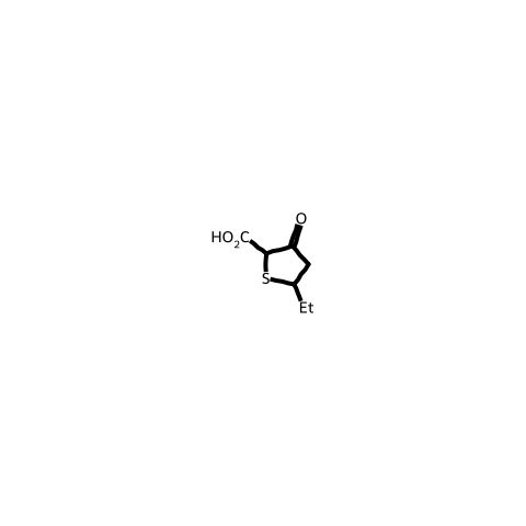 CCC1CC(=O)C(C(=O)O)S1